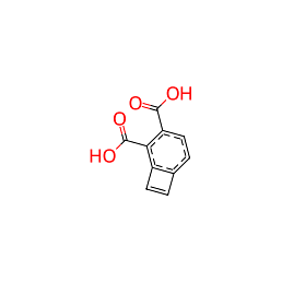 O=C(O)c1ccc2c(c1C(=O)O)C=C2